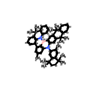 Cc1cc2c3c(c1)N(c1cc4c(cc1C)C(C)(C)CCC4(C)C)c1cc4c(cc1B3N1c3ccccc3[Si](C)(C)c3cccc-2c31)C(C)(C)c1ccccc1C4(C)C